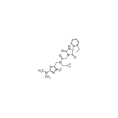 C[C@@H](C1CC1)N(Cc1cnc(N(C)C)s1)C(=O)CN1C(=O)N[C@]2(CCc3ccccc32)C1=O